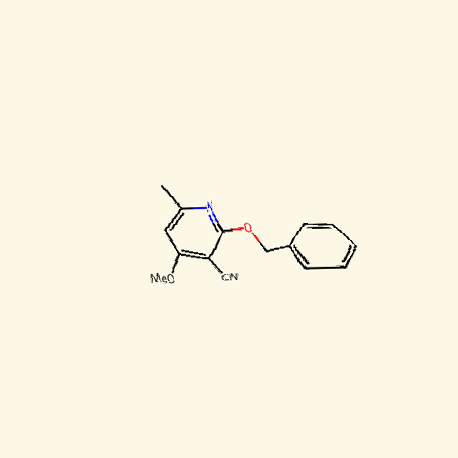 COc1cc(C)nc(OCc2ccccc2)c1C#N